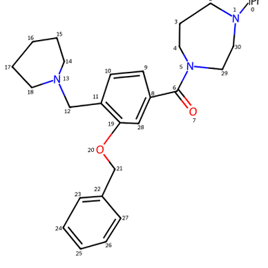 CC(C)N1CCCN(C(=O)c2ccc(CN3CCCCC3)c(OCc3ccccc3)c2)CC1